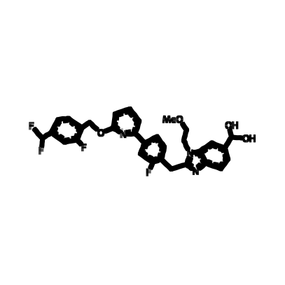 COCCn1c(Cc2ccc(-c3cccc(OCc4ccc(C(F)F)cc4F)n3)cc2F)nc2ccc(C(O)O)cc21